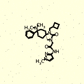 Cn1ccc(NC(=O)CN2C[C@]3(CC[C@](c4ccccc4)(N(C)C)CC3)N(CC3CCC3)C2=O)n1